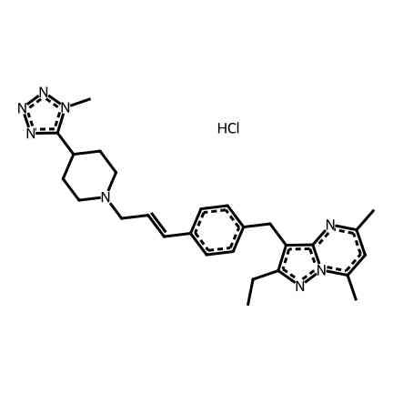 CCc1nn2c(C)cc(C)nc2c1Cc1ccc(/C=C/CN2CCC(c3nnnn3C)CC2)cc1.Cl